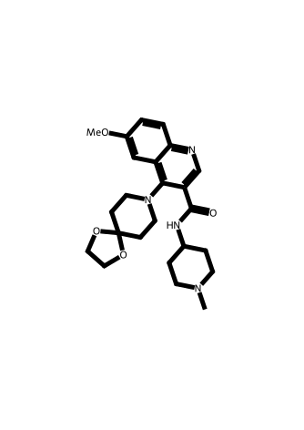 COc1ccc2ncc(C(=O)NC3CCN(C)CC3)c(N3CCC4(CC3)OCCO4)c2c1